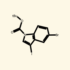 CC(C)(C)OC(=O)n1cc(I)c2cc(Br)ccc21